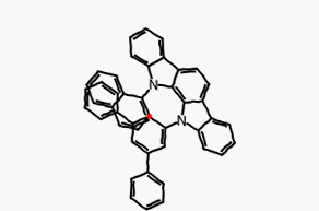 c1ccc(-c2cc(-c3ccccc3)cc(-n3c4ccccc4c4ccc5c6ccccc6n(-c6cccc7ccccc67)c5c43)c2)cc1